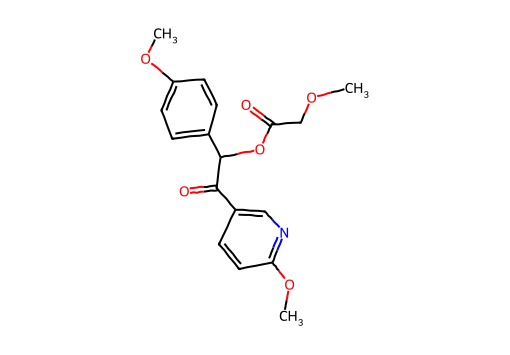 COCC(=O)OC(C(=O)c1ccc(OC)nc1)c1ccc(OC)cc1